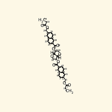 C=CC(=O)OCc1ccc2cc(C(=O)OC3CO[C@@H]4[C@@H](OC(=O)c5ccc6cc(COC(=O)C=C)ccc6c5)CO[C@H]34)ccc2c1